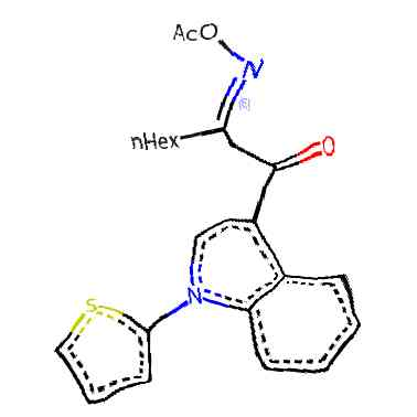 CCCCCC/C(=N\OC(C)=O)C(=O)c1cn(-c2cccs2)c2ccccc12